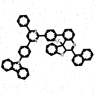 CC12c3ccccc3OC1C(c1cccc3ccccc13)=Nc1cccc(-c3ccc(-c4nc(-c5ccccc5)cc(-c5ccc(-n6c7ccccc7c7ccccc76)cc5)n4)cc3)c12